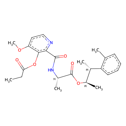 CCC(=O)Oc1c(OC)ccnc1C(=O)N[C@@H](C)C(=O)O[C@H](C)[C@H](C)c1ccccc1C